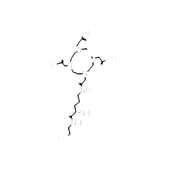 CCCNC(=O)[C@H](N)CCCNC(=O)CN1CCN(CC(=O)O)CCN(CC(=O)O)CCN(CC(=O)O)CC1